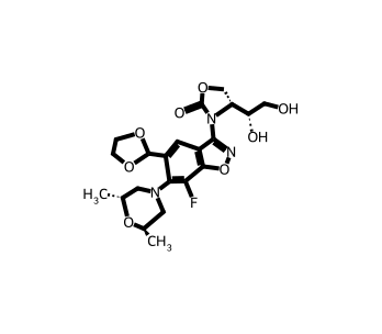 C[C@@H]1CN(c2c(C3OCCO3)cc3c(N4C(=O)OC[C@@H]4[C@@H](O)CO)noc3c2F)C[C@@H](C)O1